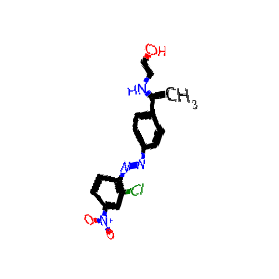 CC(NCCO)c1ccc(N=Nc2ccc([N+](=O)[O-])cc2Cl)cc1